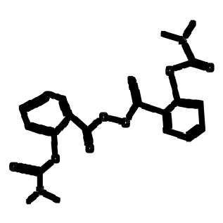 CN(C)C(=O)Oc1ccccc1C(=O)OOC(=O)c1ccccc1OC(=O)N(C)C